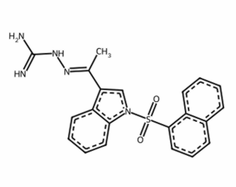 CC(=NNC(=N)N)c1cn(S(=O)(=O)c2cccc3ccccc23)c2ccccc12